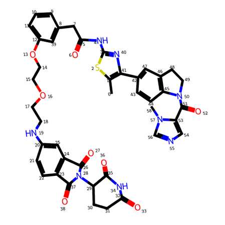 Cc1sc(NC(=O)Cc2cccc(OCCOCCNc3ccc4c(c3)C(=O)N(C3CCC(=O)NC3=O)C4=O)c2)nc1-c1ccc2c(c1)CCN2C(=O)c1cncn1C